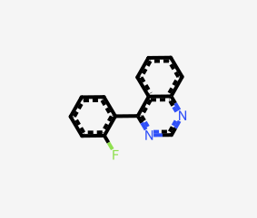 Fc1ccccc1-c1ncnc2ccccc12